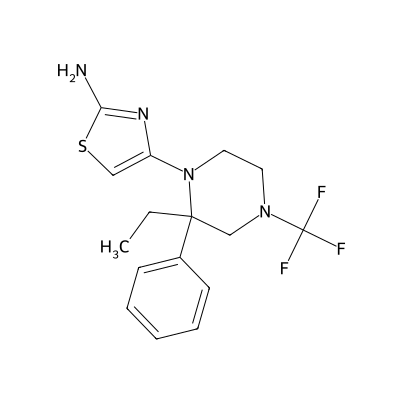 CCC1(c2ccccc2)CN(C(F)(F)F)CCN1c1csc(N)n1